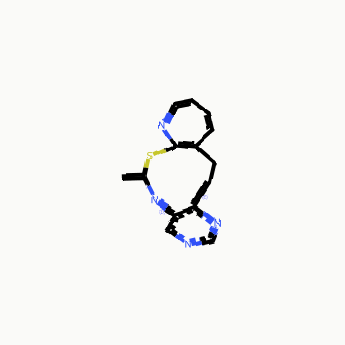 C=C1/N=c2/cncn/c2=C/CC2=C(N=C=CC=C2)S1